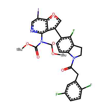 CC(C)(C)OC(=O)N(C(=O)OC(C)(C)C)c1ncc(I)c2occ(-c3ccc4c(c3F)CCN4C(=O)Cc3cc(F)ccc3F)c12